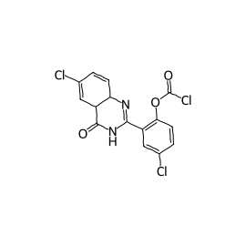 O=C(Cl)Oc1ccc(Cl)cc1C1=NC2C=CC(Cl)=CC2C(=O)N1